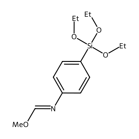 CCO[Si](OCC)(OCC)c1ccc(N=COC)cc1